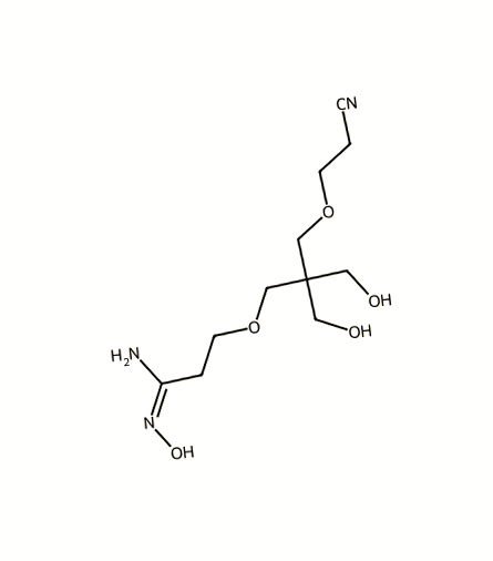 N#CCCOCC(CO)(CO)COCC/C(N)=N\O